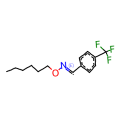 CCCCCCO/N=[C]/c1ccc(C(F)(F)F)cc1